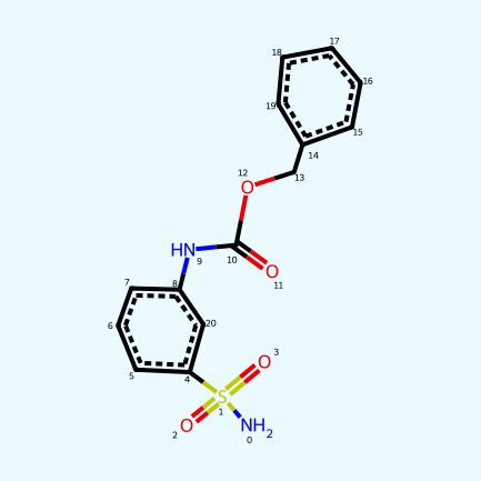 NS(=O)(=O)c1cccc(NC(=O)OCc2ccccc2)c1